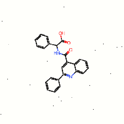 O=C(NC(C(=O)O)c1ccccc1)c1cc(-c2ccccc2)nc2ccccc12